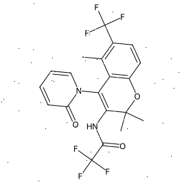 Cc1c(C(F)(F)F)ccc2c1C(n1ccccc1=O)=C(NC(=O)C(F)(F)F)C(C)(C)O2